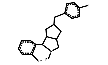 CC(C)c1ccccc1C1C2CC(Cc3ccc(F)cc3)CC2CN1C(C)C